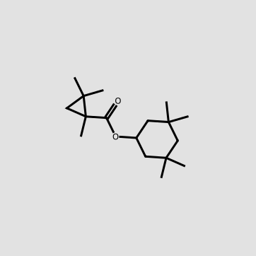 CC1(C)CC(OC(=O)C2(C)CC2(C)C)CC(C)(C)C1